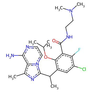 Cc1nc(C(C)c2cc(Cl)c(F)c(C(=O)NCCN(C)C)c2OC(C)C)n2ccnc(N)c12